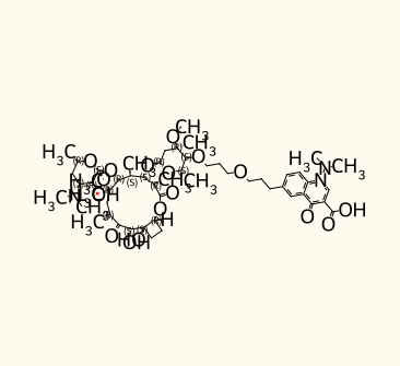 CO[C@]1(C)C[C@@H](C)C(=O)[C@@H](O)[C@@]2(O)CC[C@H]2OC(=O)[C@H](C)[C@@H](O[C@H]2C[C@@](C)(OC)[C@@H](OCCCOCCCc3ccc4c(c3)c(=O)c(C(=O)O)cn4N(C)C)[C@H](C)O2)[C@H](C)[C@H]1O[C@@H]1O[C@H](C)C[C@H](N(C)C)[C@H]1O